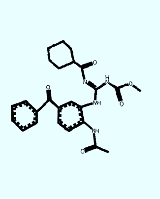 COC(=O)N/C(=N\C(=O)C1CCCCC1)Nc1cc(C(=O)c2ccccc2)ccc1NC(C)=O